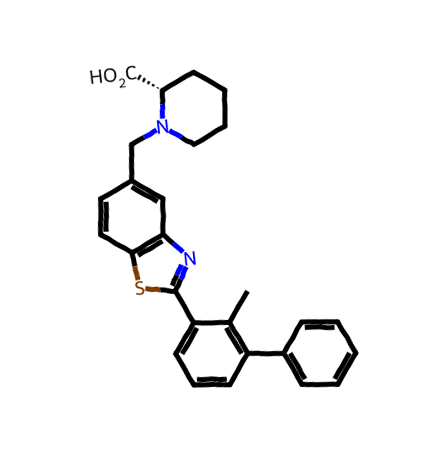 Cc1c(-c2ccccc2)cccc1-c1nc2cc(CN3CCCC[C@H]3C(=O)O)ccc2s1